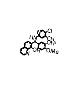 COc1ccc(C(Nc2cc(C)c(Cl)cn2)c2ccc3cccnc3c2O)cc1O